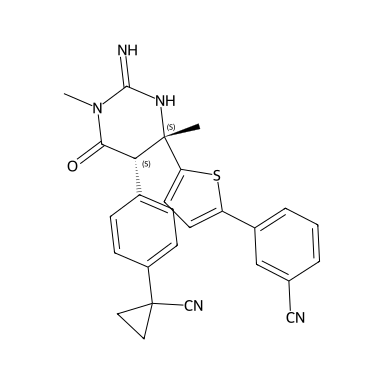 CN1C(=N)N[C@](C)(c2ccc(-c3cccc(C#N)c3)s2)[C@H](c2ccc(C3(C#N)CC3)cc2)C1=O